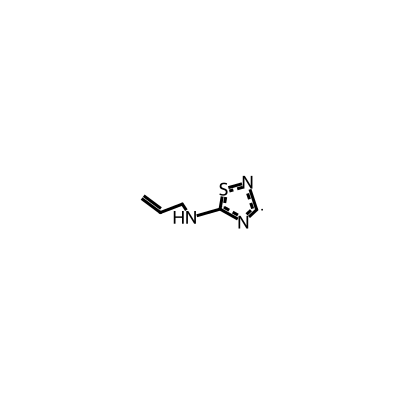 C=CCNc1n[c]ns1